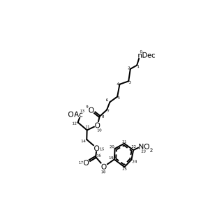 CCCCCCCCCCCCCCCCCC(=O)OC(COC(C)=O)COC(=O)Oc1ccc([N+](=O)[O-])cc1